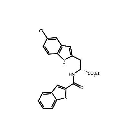 CCOC(=O)[C@@H](Cc1cc2cc(Cl)ccc2[nH]1)NC(=O)c1cc2ccccc2s1